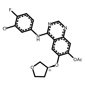 CC(=O)Oc1cc2ncnc(Nc3ccc(F)c(Cl)c3)c2cc1O[C@H]1CCOC1